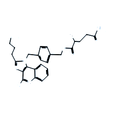 CCCCc1nc2c(N)nc3ccccc3c2n1Cc1ccc(CNC(=O)C(N)CCC(N)=O)cc1